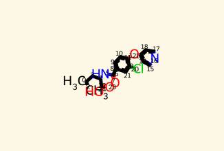 CC(C)CC(NC(=O)c1ccc(Oc2ccncc2)c(Cl)c1)C(=O)O